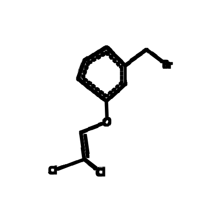 ClC(Cl)=COc1cccc(CBr)c1